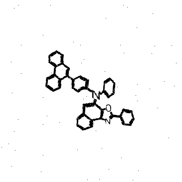 c1ccc(-c2nc3c(o2)c(N(c2ccccc2)c2ccc(-c4cc5ccccc5c5ccccc45)cc2)cc2ccccc23)cc1